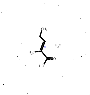 CC/C=C(\C)C(=O)O.O